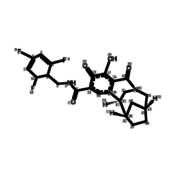 O=C(NCC1C(F)=CC(F)=CC1F)c1cn2c(c(O)c1=O)C(=O)N1C[C@@H]3CC[C@@H](C3)[C@@H]2C1